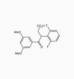 COc1cc(OC)cc(C(=O)C(CC(=O)O)c2c(F)cccc2F)c1